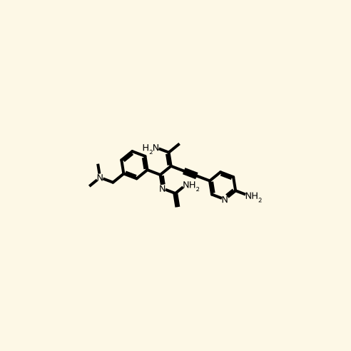 C=C(N)/N=C(\C(C#Cc1ccc(N)nc1)=C(\C)N)c1cccc(CN(C)C)c1